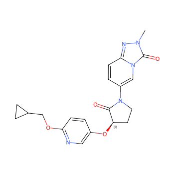 Cn1nc2ccc(N3CC[C@@H](Oc4ccc(OCC5CC5)nc4)C3=O)cn2c1=O